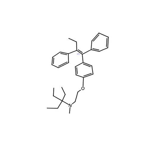 CC/C(=C(\c1ccccc1)c1ccc(OCCN(C)C(CC)(CC)CC)cc1)c1ccccc1